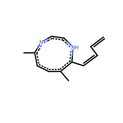 C=C/C=C\c1[nH]ccnc(C)ccc1C